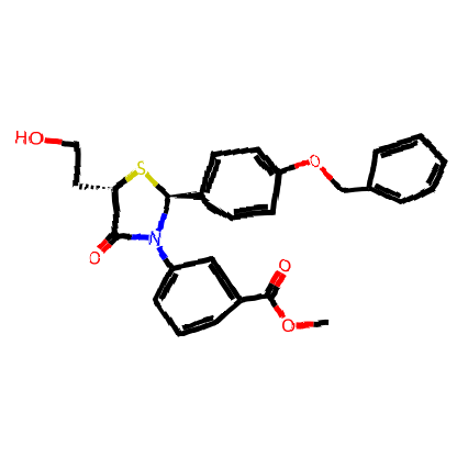 COC(=O)c1cccc(N2C(=O)[C@H](CCO)S[C@H]2c2ccc(OCc3ccccc3)cc2)c1